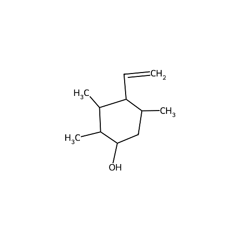 C=CC1C(C)CC(O)C(C)C1C